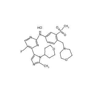 Cc1ncc(-c2nc(Nc3ccc(CN4CCOCC4)c(S(C)(=O)=O)c3)ncc2F)n1C1CCOCC1.Cl